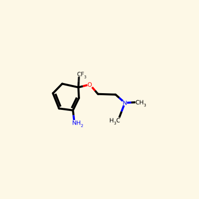 CN(C)CCOC1(C(F)(F)F)C=C(N)C=CC1